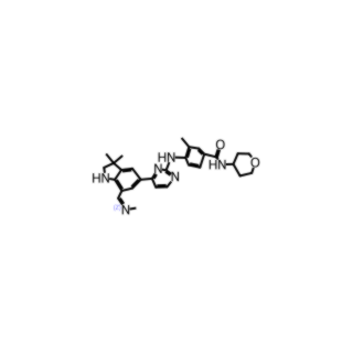 C/N=C\c1cc(-c2ccnc(Nc3ccc(C(=O)NC4CCOCC4)cc3C)n2)cc2c1NCC2(C)C